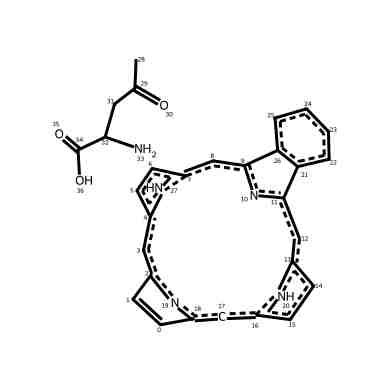 C1=Cc2cc3ccc(cc4nc(cc5ccc(cc1n2)[nH]5)-c1ccccc1-4)[nH]3.CC(=O)CC(N)C(=O)O